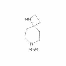 CNN1CCC2(CCN2)CC1